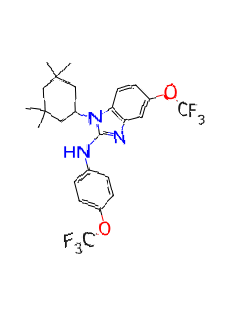 CC1(C)CC(n2c(Nc3ccc(OC(F)(F)F)cc3)nc3cc(OC(F)(F)F)ccc32)CC(C)(C)C1